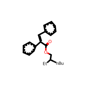 CCCCC(CC)COC(=O)/C(=C\c1ccccc1)c1ccccc1